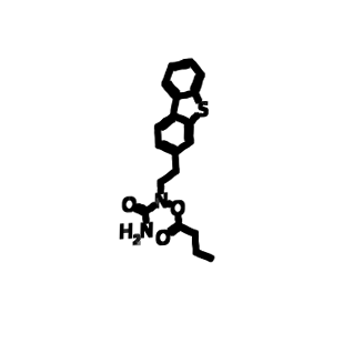 CCCC(=O)ON(CCc1ccc2c(c1)sc1ccccc12)C(N)=O